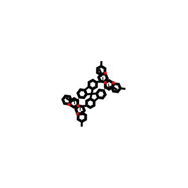 Cc1ccc(N(c2ccc(C)cc2)c2ccc3c(c2)C2(c4cc(N(c5ccccc5)c5ccccc5)ccc4-3)c3cc(N(c4ccc(C)cc4)c4ccc(C)cc4)ccc3-c3ccc(N(c4ccc(C)cc4)c4ccc(C)cc4)cc32)cc1